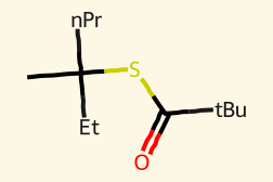 CCCC(C)(CC)SC(=O)C(C)(C)C